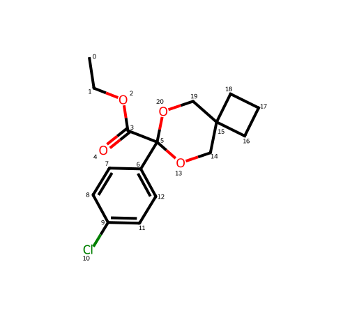 CCOC(=O)C1(c2ccc(Cl)cc2)OCC2(CCC2)CO1